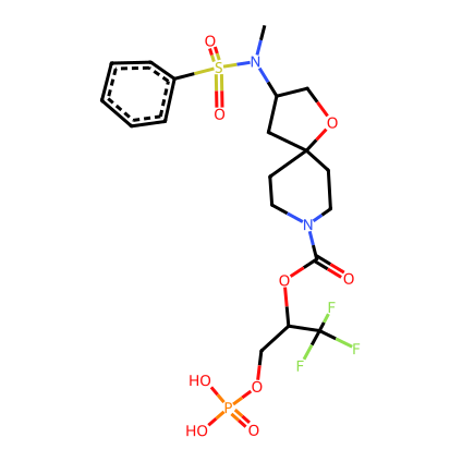 CN(C1COC2(CCN(C(=O)OC(COP(=O)(O)O)C(F)(F)F)CC2)C1)S(=O)(=O)c1ccccc1